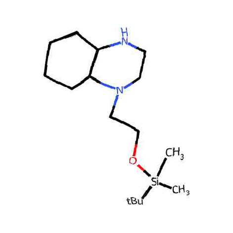 CC(C)(C)[Si](C)(C)OCCN1CCNC2CCCCC21